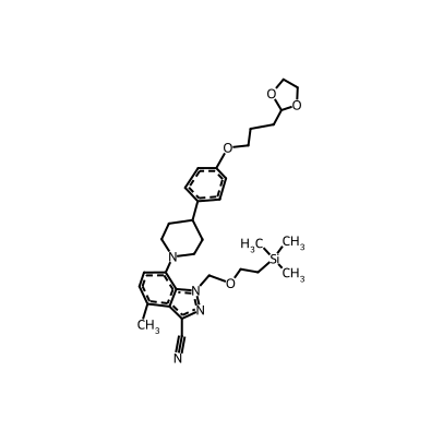 Cc1ccc(N2CCC(c3ccc(OCCCC4OCCO4)cc3)CC2)c2c1c(C#N)nn2COCC[Si](C)(C)C